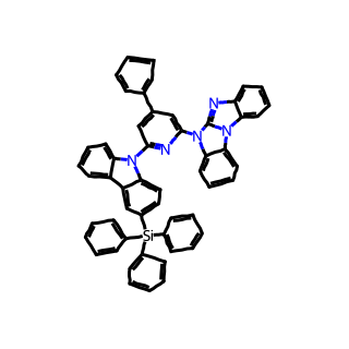 c1ccc(-c2cc(-n3c4ccccc4c4cc([Si](c5ccccc5)(c5ccccc5)c5ccccc5)ccc43)nc(-n3c4ccccc4n4c5ccccc5nc34)c2)cc1